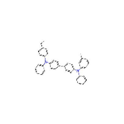 CCc1ccc(N(c2ccccc2)c2ccc(-c3ccc(N(c4ccccc4)c4cccc(C)c4)cc3)cc2)cc1